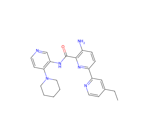 CCc1ccnc(-c2ccc(N)c(C(=O)Nc3cnccc3N3CCCCC3)n2)c1